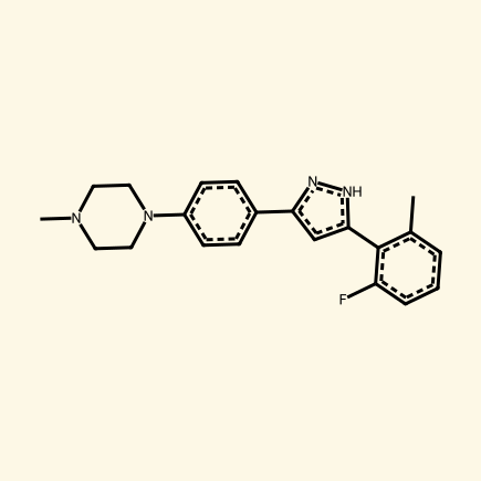 Cc1cccc(F)c1-c1cc(-c2ccc(N3CCN(C)CC3)cc2)n[nH]1